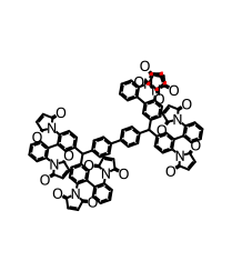 O=C1C=CC(=O)N1c1ccccc1-c1cc(C(c2ccc(-c3ccc(C(c4ccc(N5C(=O)C=CC5=O)c(-c5ccccc5N5C(=O)C=CC5=O)c4)c4ccc(N5C(=O)C=CC5=O)c(-c5ccccc5N5C(=O)C=CC5=O)c4)cc3)cc2)c2ccc(N3C(=O)C=CC3=O)c(-c3ccccc3N3C(=O)C=CC3=O)c2)ccc1N1C(=O)C=CC1=O